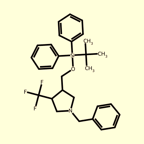 CC(C)(C)[Si](OCC1CN(Cc2ccccc2)CC1C(F)(F)F)(c1ccccc1)c1ccccc1